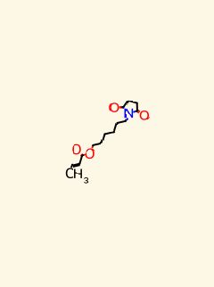 CC=CC(=O)OCCCCCCN1C(=O)CCC1=O